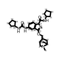 CN1CC2CCC1CN2COC1=NC(C(=O)NC2CCCC2)c2ccc(NC(=O)NC3CCCC3)cc21